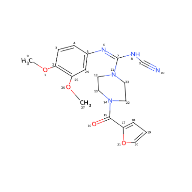 COc1ccc(N=C(NC#N)N2CCN(C(=O)c3ccco3)CC2)cc1OC